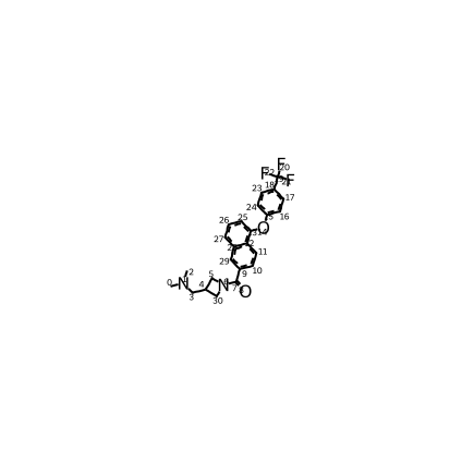 CN(C)CC1CN(C(=O)c2ccc3c(Oc4ccc(C(F)(F)F)cc4)cccc3c2)C1